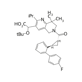 CC(C)c1nc2c(cc1C(OC(C)(C)C)C(=O)O)CN(C(=O)[C@@H]1C[C@H]1c1ccccc1-c1ccc(F)cc1)CC2(C)C